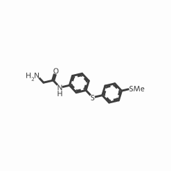 CSc1ccc(Sc2cccc(NC(=O)CN)c2)cc1